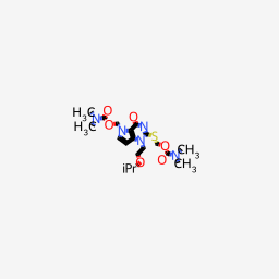 CC(C)OCCn1c(SCOC(=O)N(C)C)nc(=O)c2c1ccn2COC(=O)N(C)C